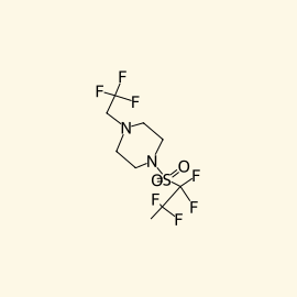 CC(F)(F)C(F)(F)S(=O)(=O)N1CCN(CC(F)(F)F)CC1